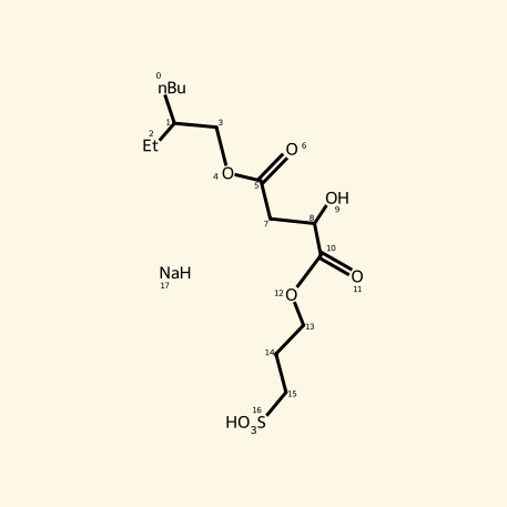 CCCCC(CC)COC(=O)CC(O)C(=O)OCCCS(=O)(=O)O.[NaH]